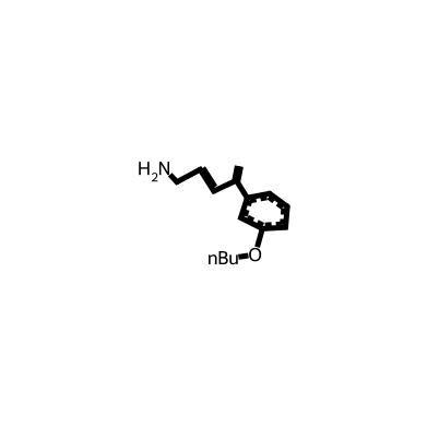 C=C(/C=C/CN)c1cccc(OCCCC)c1